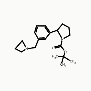 CC(C)(C)OC(=O)N1CCCC1c1cccc(CN2CCC2)c1